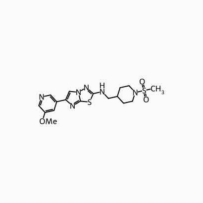 COc1cncc(-c2cn3nc(NCC4CCN(S(C)(=O)=O)CC4)sc3n2)c1